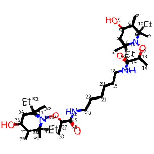 CCC1(C)CC(O)C(C)C(C)(CC)N1OC(C)C(=O)NCCCCCCNC(=O)C(C)ON1C(C)(CC)CC(O)C(C)C1(C)CC